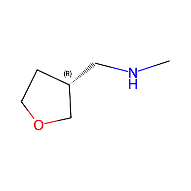 CNC[C@H]1CCOC1